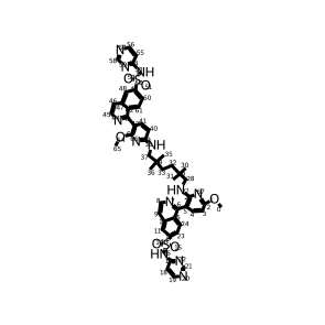 COc1ccc(-c2nccc3cc(S(=O)(=O)Nc4ccncn4)ccc23)c(NCC(C)(C)CCC(C)(C)CNc2ccc(-c3nccc4cc(S(=O)(=O)Nc5ccncn5)ccc34)c(OC)n2)n1